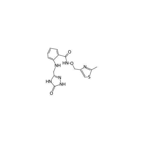 Cc1nc(CONC(=O)c2ccccc2NCc2n[nH]c(=O)[nH]2)cs1